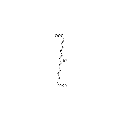 CCCCCCCCCC=CC=CC=CC=CC=CC=CC(=O)[O-].[K+]